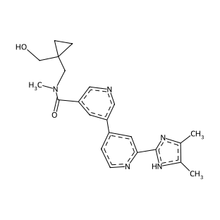 Cc1nc(-c2cc(-c3cncc(C(=O)N(C)CC4(CO)CC4)c3)ccn2)[nH]c1C